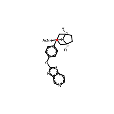 CC(=O)NC1C[C@H]2CC[C@@H](C1)N2Cc1ccc(Oc2nc3cnccc3s2)cc1